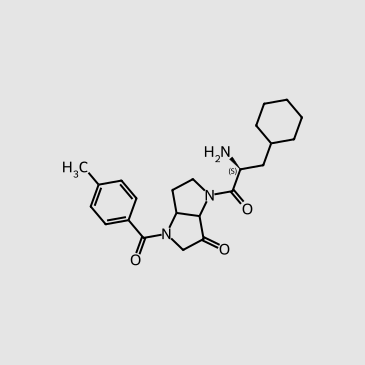 Cc1ccc(C(=O)N2CC(=O)C3C2CCN3C(=O)[C@@H](N)CC2CCCCC2)cc1